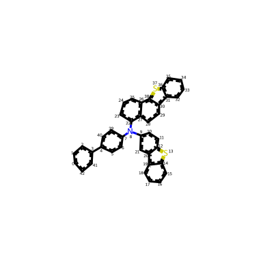 c1ccc(-c2ccc(N(c3ccc4sc5ccccc5c4c3)c3cccc4c3ccc3c5ccccc5sc43)cc2)cc1